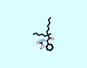 CCCCCCC(C)(CCCCC)C(=O)[C@@H](NC(=O)OC)c1ccccc1